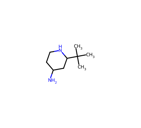 CC(C)(C)C1CC(N)CCN1